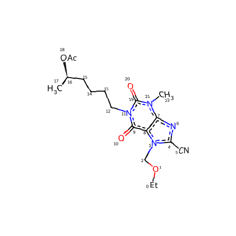 CCOCn1c(C#N)nc2c1c(=O)n(CCCC[C@@H](C)OC(C)=O)c(=O)n2C